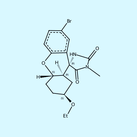 CCO[C@H]1CC[C@@H]2Oc3ccc(Br)cc3[C@]3(NC(=O)N(C)C3=O)[C@H]2C1